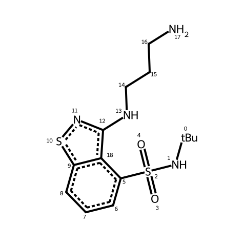 CC(C)(C)NS(=O)(=O)c1cccc2snc(NCCCN)c12